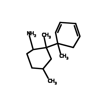 CC1CCC(N)C(C)(C2(C)C=CC=CC2)C1